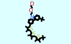 COCCOCCn1c2ccc(-c3sc(-c4sc(-c5sc(C(C)(C)C)c(C)c5C)c(C)c4C)c(C)c3C)cc2c2cc(C(C)(C)C)ccc21